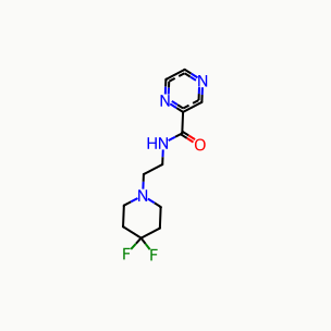 O=C(NCCN1CCC(F)(F)CC1)c1cnccn1